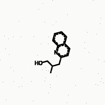 CC(CO)Cc1ccc2ccccc2n1